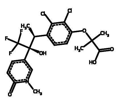 C[C@@H](c1ccc(OC(C)(C)C(=O)O)c(Cl)c1Cl)[C@](O)(c1ccc(=O)n(C)c1)C(F)(F)F